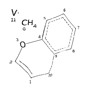 C.C1=COc2ccccc2C1.[V]